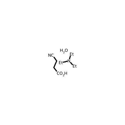 CCN(CC)CC.N#CCCC(=O)O.O